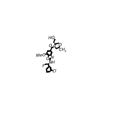 COc1cc(C(=O)N2CC(C)OC[C@@H]2CCO)cc2nc(NC(CF)c3cccc(Cl)c3)oc12